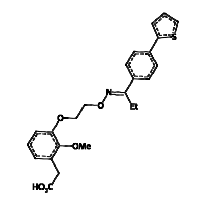 CC/C(=N\OCCOc1cccc(CC(=O)O)c1OC)c1ccc(-c2cccs2)cc1